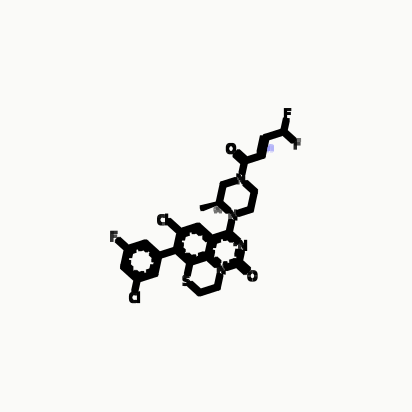 C[C@H]1CN(C(=O)/C=C/C(F)F)CCN1c1nc(=O)n2c3c(c(-c4cc(F)cc(Cl)c4)c(Cl)cc13)SCC2